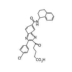 O=C(O)CCCC(=O)c1nc2cc(C(=O)NC3CCCc4ccccc43)ccc2nc1-c1ccc(Cl)cc1